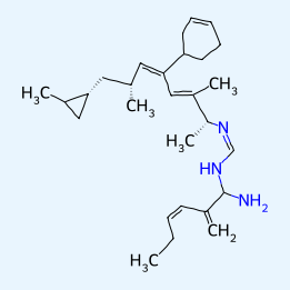 C=C(/C=C\CC)C(N)N/C=N\[C@H](C)/C(C)=C/C(=C\[C@H](C)C[C@@H]1CC1C)C1CC=CCC1